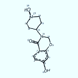 O=C1c2ccc(O)cc2OCN1C1CCN(O)CC1